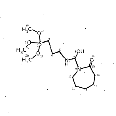 CO[Si](CCCNC(O)N1CCCCCC1=O)(OC)OC